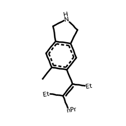 CCC/C(CC)=C(\CC)c1cc2c(cc1C)CNC2